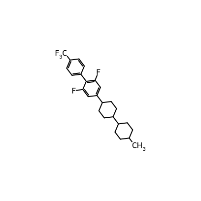 CC1CCC(C2CCC(c3cc(F)c(-c4ccc(C(F)(F)F)cc4)c(F)c3)CC2)CC1